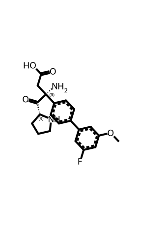 COc1cc(F)cc(-c2ccc([C@](N)(CC(=O)O)C(=O)[C@H]3CCCN3)cc2)c1